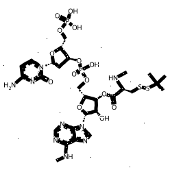 CNc1ncnc2c1ncn2[C@@H]1O[C@H](COP(=O)(O)O[C@H]2C[C@H](n3ccc(N)nc3=O)O[C@@H]2COP(=O)(O)O)[C@@H](OC(=O)[C@H](CSSC(C)(C)C)NC)[C@H]1O